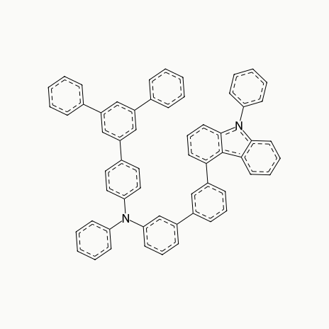 c1ccc(-c2cc(-c3ccccc3)cc(-c3ccc(N(c4ccccc4)c4cccc(-c5cccc(-c6cccc7c6c6ccccc6n7-c6ccccc6)c5)c4)cc3)c2)cc1